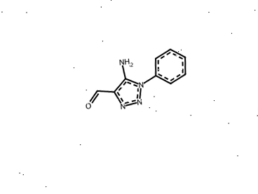 Nc1c(C=O)nnn1-c1ccccc1